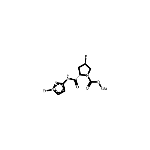 CCn1ccc(NC(=O)[C@@H]2C[C@@H](F)CN2C(=O)OC(C)(C)C)n1